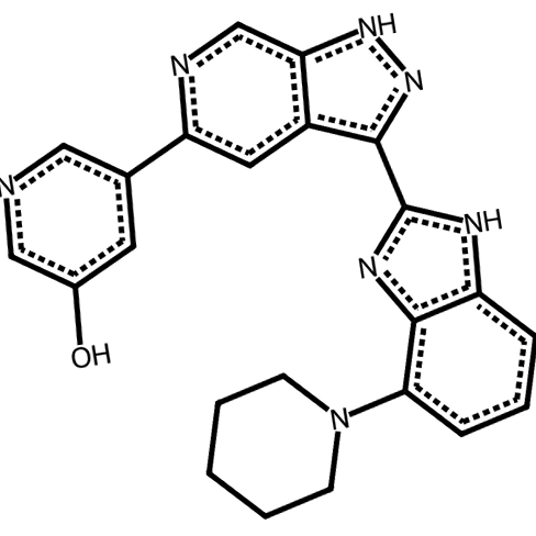 Oc1cncc(-c2cc3c(-c4nc5c(N6CCCCC6)cccc5[nH]4)n[nH]c3cn2)c1